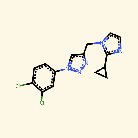 Clc1ccc(-n2cc(Cn3ccnc3C3CC3)nn2)cc1Cl